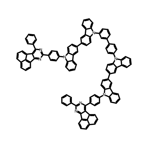 c1ccc(-c2nc(-c3ccc(-n4c5ccccc5c5cc(-c6ccc7c(c6)c6ccccc6n7-c6ccc(-c7cccc(-n8c9ccccc9c9cc(-c%10ccc%11c(c%10)c%10ccccc%10n%11-c%10ccc(-c%11nc(-c%12ccccc%12)c%12c(n%11)-c%11cccc%13cccc-%12c%11%13)cc%10)ccc98)c7)cc6)ccc54)cc3)c3c(n2)-c2cccc4cccc-3c24)cc1